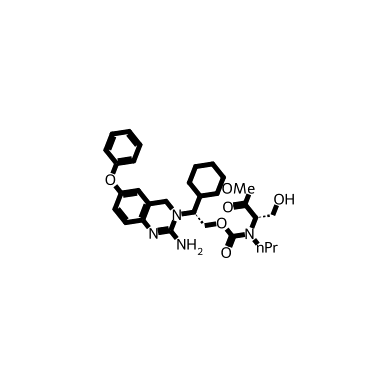 CCCN(C(=O)OC[C@@H](C1CCCCC1)N1Cc2cc(Oc3ccccc3)ccc2N=C1N)[C@@H](CO)C(=O)OC